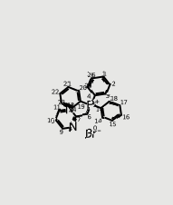 [Br-].c1ccc([P+](Cc2ncccn2)(c2ccccc2)c2ccccc2)cc1